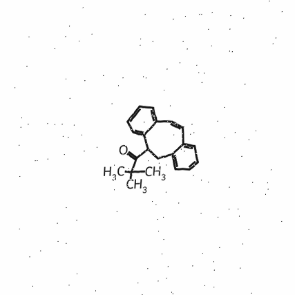 CC(C)(C)C(=O)C1Cc2ccccc2/C=C\c2ccccc21